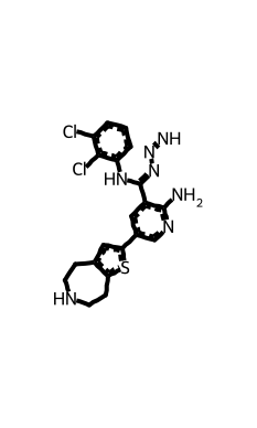 N=N/N=C(\Nc1cccc(Cl)c1Cl)c1cc(-c2cc3c(s2)CCNCC3)cnc1N